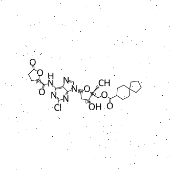 C#C[C@]1(COC(=O)C2CCC3(CCCC3)CC2)O[C@@H](n2cnc3c(NC(=O)[C@H]4CCC(=O)O4)nc(Cl)nc32)C[C@@H]1O